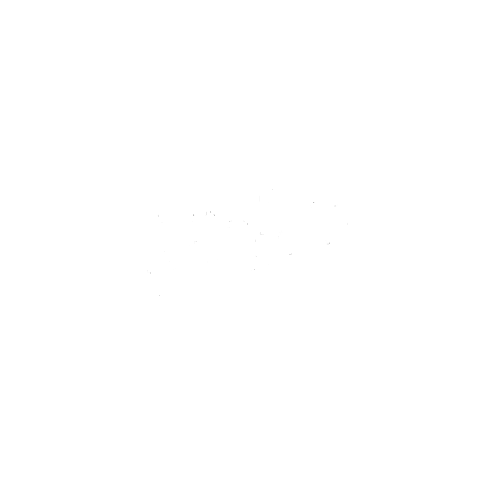 CNC(=O)c1cccc(NC(=O)N[C@@H](C)c2oc3ccccc3c2C)c1C